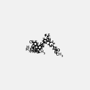 COC(=O)N1CC(N2CCC(c3nn(C(F)F)c4ccc(-c5nc6cc(C)c([C@H](OC(C)(C)C)C(=O)O)c(-c7ccc(Cl)cc7)c6s5)nc34)CC2)C1